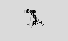 CCCCOc1ccccc1Oc1ccc(CNC(=O)c2ccc(C)nc2N)cc1